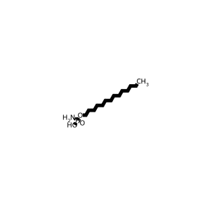 CCCCCCCCCCCCCCOP(N)(=O)O